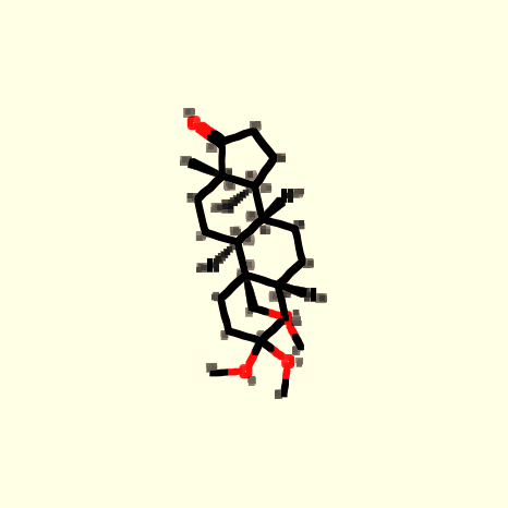 COC[C@]12CCC(OC)(OC)C[C@H]1CC[C@@H]1[C@@H]2CC[C@]2(C)C(=O)CC[C@@H]12